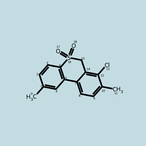 Cc1ccc2c(c1)-c1ccc(C)c(Cl)c1CS2(=O)=O